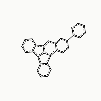 c1ccc(-c2ccc3c(c2)cc2c4ccccc4n4c5ccccc5c3c24)nc1